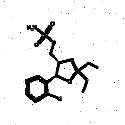 CCC1(CC)C[C@@H](COS(N)(=O)=O)[C@H](c2ccccc2Cl)O1